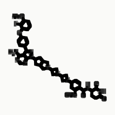 COc1cc(N2CC(N3CC(N4CC5CC(n6nc(-c7ccc(Oc8cccc(OC)c8F)cc7)c7c(N)ncnc76)CC5C4)C3)C2)ccc1C(=O)NC1CCC(=O)NC1=O